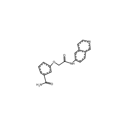 NC(=O)c1cccc(OCC(=O)Nc2ccc3cnccc3c2)c1